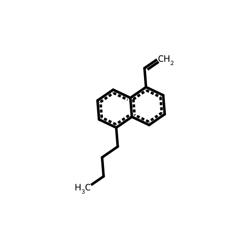 C=Cc1cccc2c(CCCC)cccc12